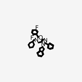 O=C(c1cc(F)ccc1F)N(Cc1cnc(-c2ccccc2)n1C1Cc2ccccc2C1)CC1CCCCC1